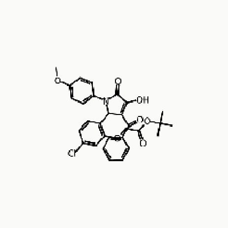 COc1ccc(N2C(=O)C(O)=C(C(=O)c3ccccc3)C2c2ccc(Cl)cc2OCC(=O)OC(C)(C)C)cc1